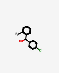 OC(c1ccc(Cl)cc1)c1ccccc1C(F)(F)F